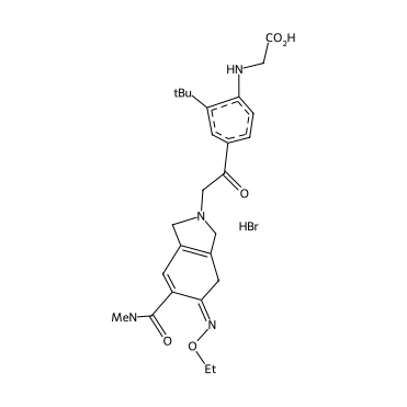 Br.CCON=C1CC2=C(C=C1C(=O)NC)CN(CC(=O)c1ccc(NCC(=O)O)c(C(C)(C)C)c1)C2